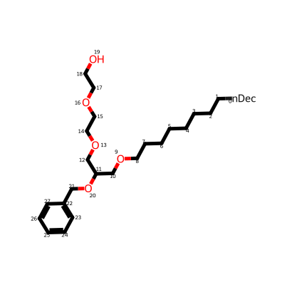 CCCCCCCCCCCCCCCCCCOCC(COCCOCCO)OCc1ccccc1